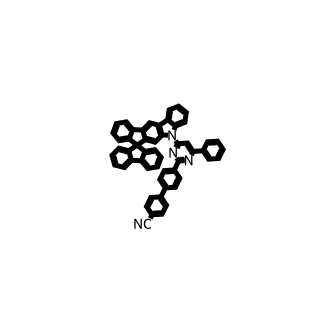 N#Cc1ccc(-c2ccc(-c3nc(-c4ccccc4)cc(-n4c5ccccc5c5cc6c(cc54)C4(c5ccccc5-c5ccccc54)c4ccccc4-6)n3)cc2)cc1